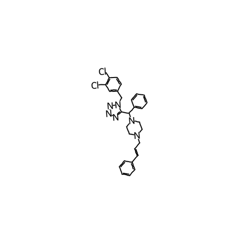 Clc1ccc(Cn2nnnc2C(c2ccccc2)N2CCN(CC=Cc3ccccc3)CC2)cc1Cl